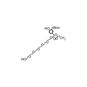 C=CC(=O)OC(C(=O)OCCOCCOCCOCCOCCOCCO)c1ccc(O)c(CCCCCCCCC)c1